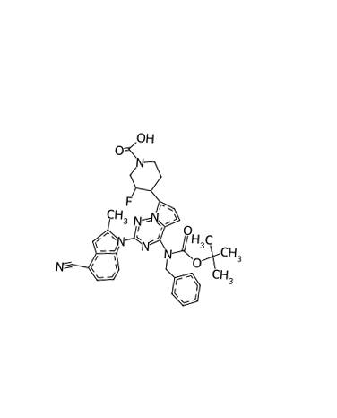 Cc1cc2c(C#N)cccc2n1-c1nc(N(Cc2ccccc2)C(=O)OC(C)(C)C)c2ccc(C3CCN(C(=O)O)CC3F)n2n1